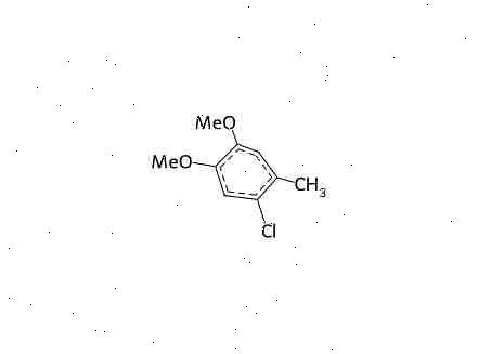 COc1cc(C)c(Cl)cc1OC